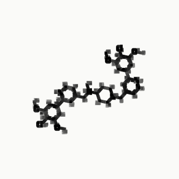 COc1cc(-c2cc(CN3CCC(N(C)Cc4ccnc(-c5cc(OC)c(Cl)c(OC)c5)c4)CC3)ccn2)cc(OC)c1Cl